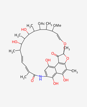 COC1/C=C/OC2(C)Oc3c(C)c(O)c4c(O)c(cc(O)c4c3C2=O)NC(=O)/C(C)=C/C=C/C(C)C(O)C(C)C(O)C(C)C(OC(C)=O)C1C